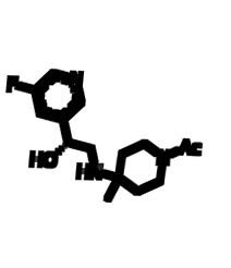 CC(=O)N1CCC(C)(NC[C@H](O)c2cncc(F)c2)CC1